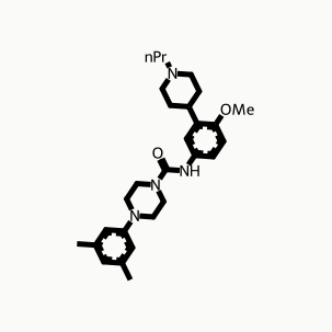 CCCN1CCC(c2cc(NC(=O)N3CCN(c4cc(C)cc(C)c4)CC3)ccc2OC)CC1